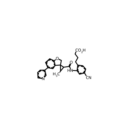 CC1C(C(=O)Nc2cc(C#N)ccc2CCCC(=O)O)C12COc1ccc(-c3cccnc3)cc12